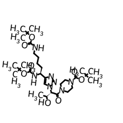 CC(O)[C@@H](C(=O)N1CCN(C(=O)OC(C)(C)C)CC1)n1cc([C@H](CCCCNC(=O)OC(C)(C)C)NC(=O)OC(C)(C)C)nn1